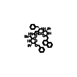 CC[C@H](C)[C@H](NC(=O)C[C@H](O)[C@H](Cc1ccccc1)NC(=O)[C@@H](NC(=O)Cc1cccc2ccccc12)C(C)C)C(=O)N[C@H](C(=O)OCc1ccccc1)C(C)C